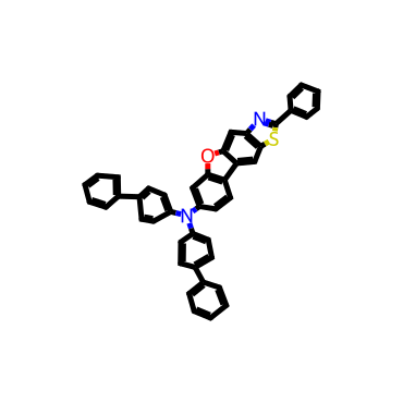 c1ccc(-c2ccc(N(c3ccc(-c4ccccc4)cc3)c3ccc4c(c3)oc3cc5nc(-c6ccccc6)sc5cc34)cc2)cc1